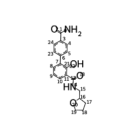 NC(=O)c1ccc(-c2cccc(C(=O)NCC3CCCO3)c2O)cc1